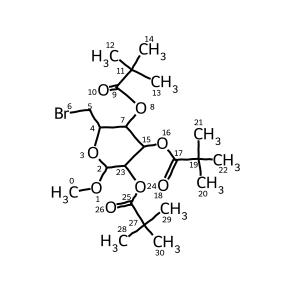 COC1OC(CBr)C(OC(=O)C(C)(C)C)C(OC(=O)C(C)(C)C)C1OC(=O)C(C)(C)C